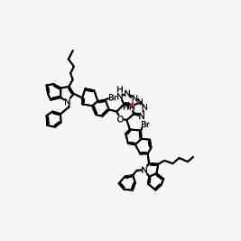 CCCCCc1c(-c2ccc3c(Br)c(C(OC(c4nnn[nH]4)c4ccc5cc(-c6c(CCCCC)c7ccccc7n6Cc6ccccc6)ccc5c4Br)c4nnn[nH]4)ccc3c2)n(Cc2ccccc2)c2ccccc12